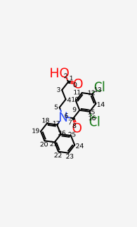 O=C(O)CCCN(C(=O)c1ccc(Cl)cc1Cl)c1cccc2ccccc12